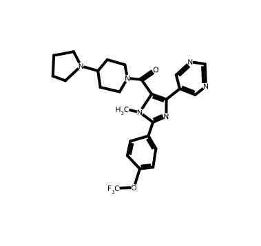 Cn1c(-c2ccc(OC(F)(F)F)cc2)nc(-c2cncnc2)c1C(=O)N1CCC(N2CCCC2)CC1